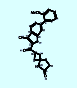 COc1ccccc1-c1ccc2c(Cl)c(C(=O)N3CC4(CCC(=O)N4)C3)sc2c1